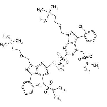 CN(C)S(=O)(=O)Cc1nc(S(C)(=O)=O)nc2c1c(-c1ccccc1Cl)nn2COCC[Si](C)(C)C.CSc1nc(CS(=O)(=O)N(C)C)c2c(-c3ccccc3Cl)nn(COCC[Si](C)(C)C)c2n1